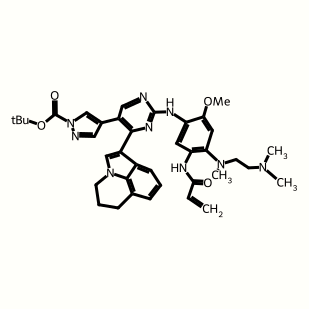 C=CC(=O)Nc1cc(Nc2ncc(-c3cnn(C(=O)OC(C)(C)C)c3)c(-c3cn4c5c(cccc35)CCC4)n2)c(OC)cc1N(C)CCN(C)C